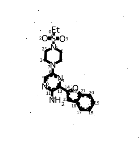 CCS(=O)(=O)N1CCN(c2cnc(N)c(-c3cc4ccccc4o3)n2)CC1